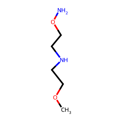 COCCNCCON